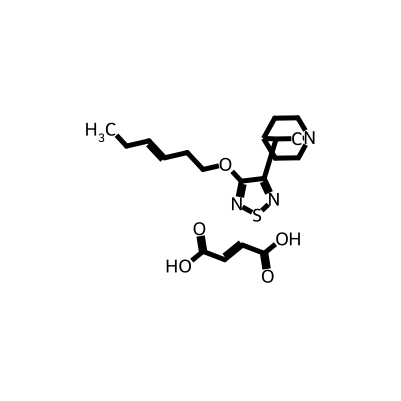 CCC=CCCOc1nsnc1C1CN2CCC1CC2.O=C(O)C=CC(=O)O